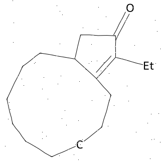 CCC1=C2CCCCCCCCCC2CC1=O